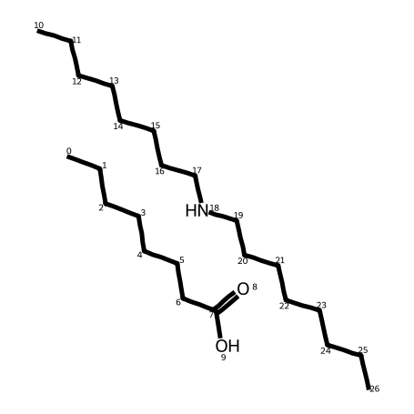 CCCCCCCC(=O)O.CCCCCCCCNCCCCCCCC